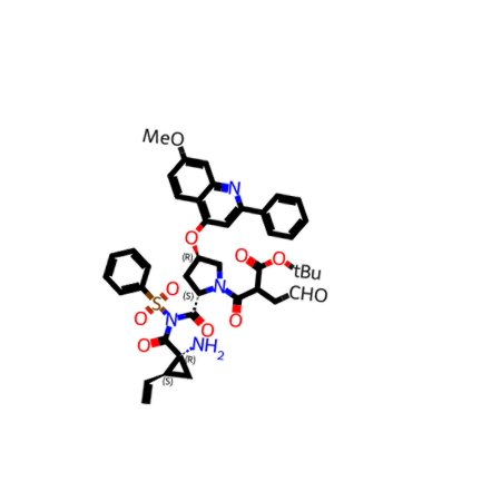 C=C[C@@H]1C[C@]1(N)C(=O)N(C(=O)[C@@H]1C[C@@H](Oc2cc(-c3ccccc3)nc3cc(OC)ccc23)CN1C(=O)C(CC=O)C(=O)OC(C)(C)C)S(=O)(=O)c1ccccc1